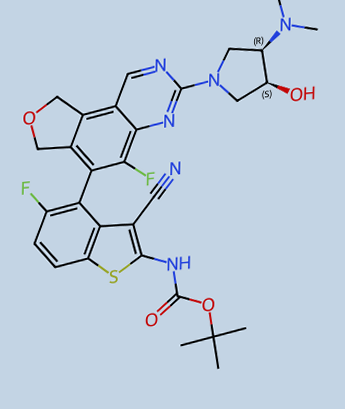 CN(C)[C@@H]1CN(c2ncc3c4c(c(-c5c(F)ccc6sc(NC(=O)OC(C)(C)C)c(C#N)c56)c(F)c3n2)COC4)C[C@@H]1O